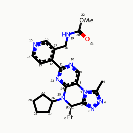 CC[C@@H]1c2nnc(C)n2-c2cnc(-c3ccncc3CNC(=O)OC)nc2N1C1CCCC1